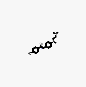 CN(C)CCN(C)c1ccc(/C=C(\C#N)c2ccc(C#N)cc2)cc1